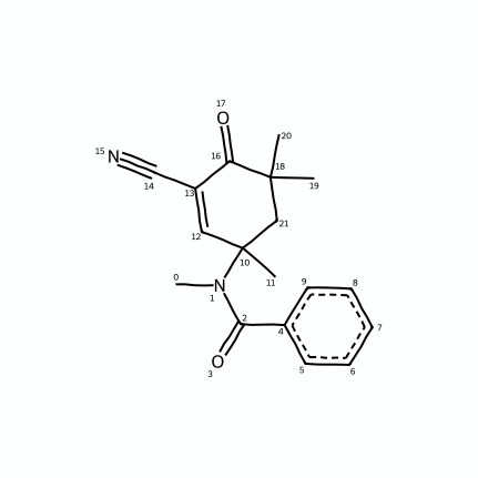 CN(C(=O)c1ccccc1)C1(C)C=C(C#N)C(=O)C(C)(C)C1